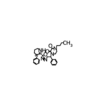 CCCCN1CCN(C(c2ccccc2)c2nnc([C@H]3NCCC[C@@H]3c3ccccc3)o2)C(=O)C1=O